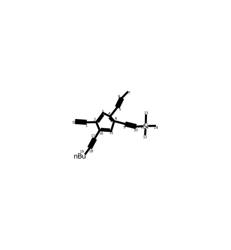 C#Cc1cc(C#CC)c(C#C[Si](C)(C)C)cc1C#CCCCC